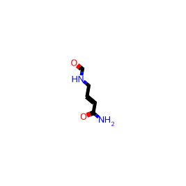 NC(=O)C=CCNC=O